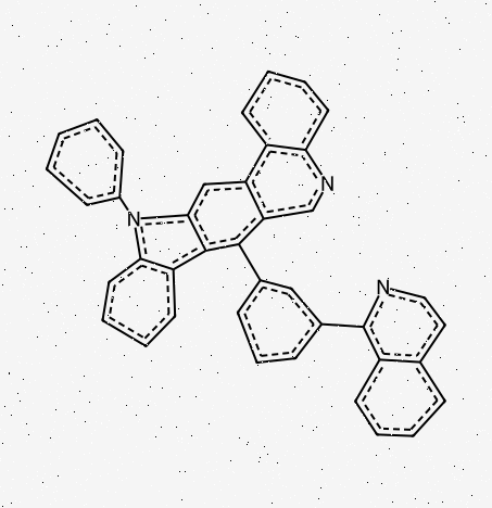 c1ccc(-n2c3ccccc3c3c(-c4cccc(-c5nccc6ccccc56)c4)c4cnc5ccccc5c4cc32)cc1